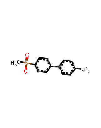 CS(=O)(=O)c1ccc(-c2ccc(C(F)(F)F)cc2)cc1